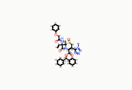 C=CC1(NC(=O)COc2ccccc2)C(=O)N2C(C(=O)OC(c3ccccc3)c3ccccc3)=C(c3nnnn3C)C[S+]([O-])[C@H]21